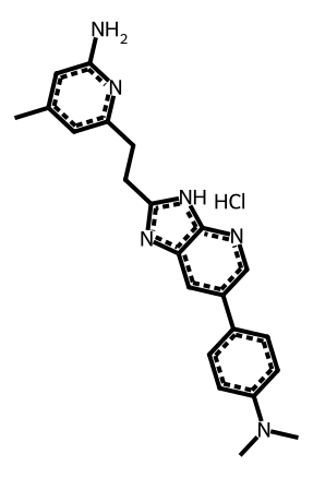 Cc1cc(N)nc(CCc2nc3cc(-c4ccc(N(C)C)cc4)cnc3[nH]2)c1.Cl